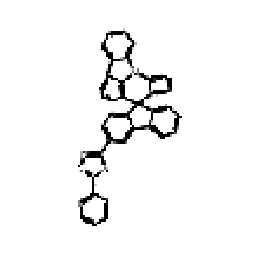 c1ccc(-c2nnc(-c3ccc4c(c3)-c3ccccc3C43c4ccccc4-n4c5ccccc5c5cccc3c54)s2)cc1